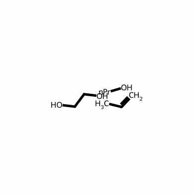 C=CC.CCCO.OCCO